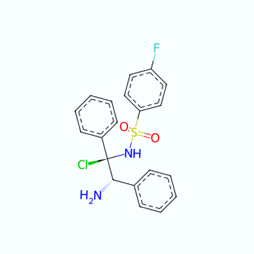 N[C@@H](c1ccccc1)[C@@](Cl)(NS(=O)(=O)c1ccc(F)cc1)c1ccccc1